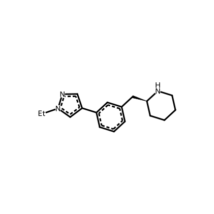 CCn1cc(-c2cccc(C[C@@H]3CCCCN3)c2)cn1